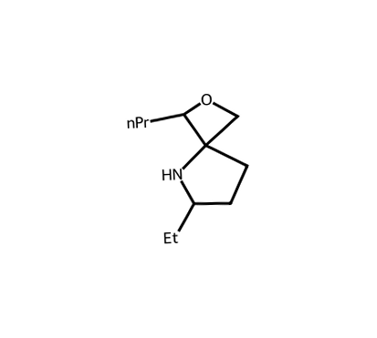 CCCC1OCC12CCC(CC)N2